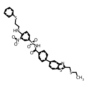 CCSCc1nc2cc(-c3ccc(C(=O)NS(=O)(=O)c4ccc(NCCSc5ccccc5)c([N+](=O)[O-])c4)cc3)ccc2s1